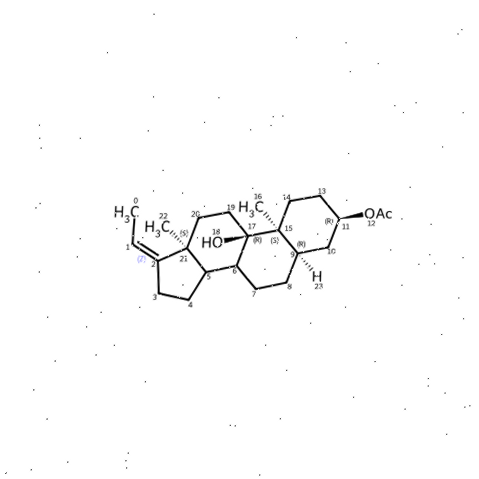 C/C=C1/CCC2C3CC[C@@H]4C[C@H](OC(C)=O)CC[C@]4(C)[C@@]3(O)CC[C@]12C